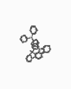 CC1(c2ccccc2)c2ccccc2-c2ccc3c4ccccc4n(-c4ccc(N(c5ccccc5)c5ccccc5)cc4)c3c21